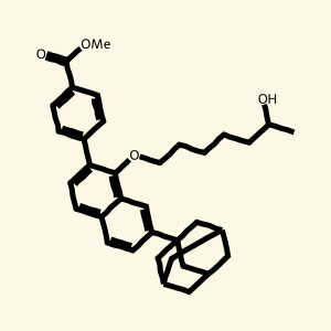 COC(=O)c1ccc(-c2ccc3ccc(C45CC6CC(CC(C6)C4)C5)cc3c2OCCCCCC(C)O)cc1